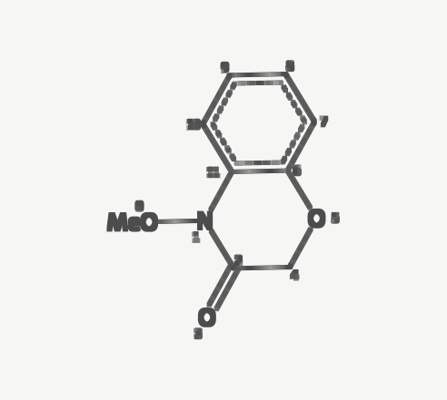 CON1C(=O)COc2ccccc21